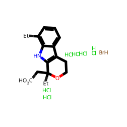 Br.CCc1cccc2c3c([nH]c12)C(CC)(CC(=O)O)OCC3.Cl.Cl.Cl.Cl.Cl.Cl